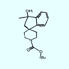 CC(C)(C)OC(=O)N1CCC2(CC1)CC(C)(O)c1ccccc12